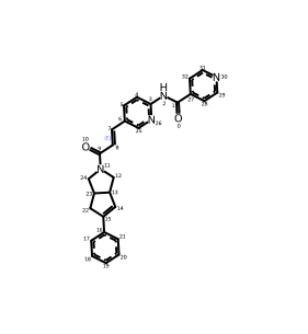 O=C(Nc1ccc(/C=C/C(=O)N2CC3C=C(c4ccccc4)CC3C2)cn1)c1ccncc1